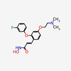 CN(C)CCOc1ccc(C=CC(=O)NO)c(Oc2cccc(F)c2)c1